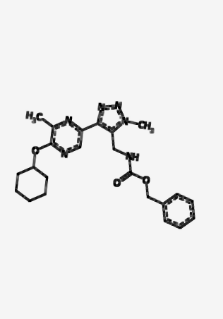 Cc1nc(-c2nnn(C)c2CNC(=O)OCc2ccccc2)cnc1OC1CCCCC1